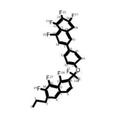 CCCc1cc2ccc(C(F)(F)Oc3ccc(-c4cc(F)c5c(F)c(F)c(F)cc5c4)cc3)c(F)c2c(F)c1F